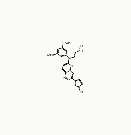 COc1cc(OC)cc(N(CCNC(C)C)c2ccc3ncc(-c4cnn(C(C)C)c4)cc3n2)c1